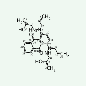 C=CCN(NCC(=C)O)c1ccc(N(CC=C)NCC(=C)O)c2c1C(=O)c1ccccc1C2=O